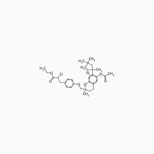 CCOC(=O)C(Cl)Cc1ccc(OCC2(C)CCc3cc(OC(C)=O)c(C(C)(C)CC(C)(C)C)cc3O2)cc1